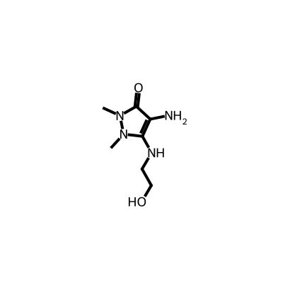 Cn1c(NCCO)c(N)c(=O)n1C